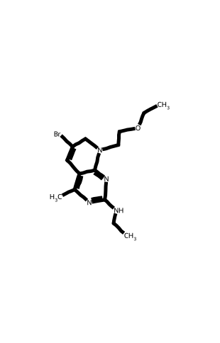 CCNc1nc(C)c2c(n1)N(CCOCC)CC(Br)=C2